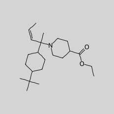 C/C=C\C(C)(C1CCC(C(C)(C)C)CC1)N1CCC(C(=O)OCC)CC1